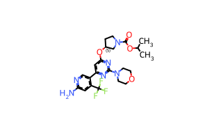 CC(C)OC(=O)N1CC[C@H](Oc2cc(-c3cnc(N)cc3C(F)(F)F)nc(N3CCOCC3)n2)C1